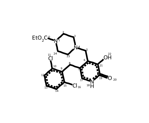 CCOC(=O)N1CCN(Cc2c(Cc3c(Cl)cccc3Cl)c[nH]c(=O)c2O)CC1